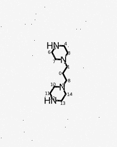 C(CN1CCNCC1)CN1CCNCC1